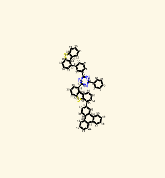 c1ccc(-c2nc(-c3cccc(-c4cccc5sc6ccccc6c45)c3)nc(-c3cccc4sc5c(-c6ccc7c8ccccc8c8ccccc8c7c6)cccc5c34)n2)cc1